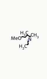 C=C/C=N/C(C)C(C)CCOC